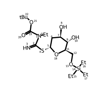 CCN(C(=N)S[C@@H]1C[C@@H](O)[C@H](O)[C@@H](CO[Si](CC)(CC)CC)O1)C(=O)OC(C)(C)C